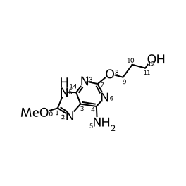 COc1nc2c(N)nc(OCCCO)nc2[nH]1